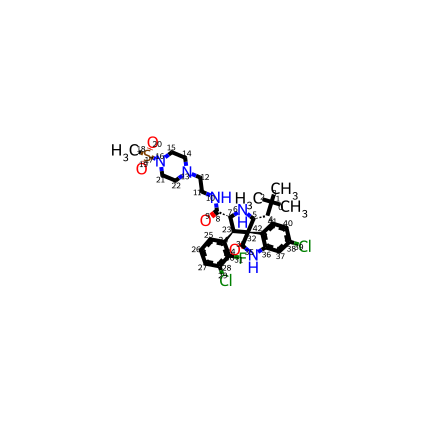 CC(C)(C)C[C@H]1N[C@@H](C(=O)NCCN2CCN(S(C)(=O)=O)CC2)[C@H](c2cccc(Cl)c2F)[C@@]12C(=O)Nc1cc(Cl)ccc12